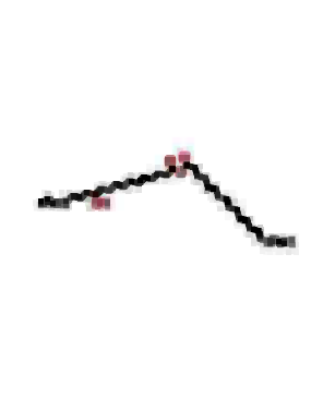 CCCCCC=CCC=CCC=CCC=CCCCC(=O)OC(=O)CCCC=CCC=CCC=C(O)CC=CCCCCC